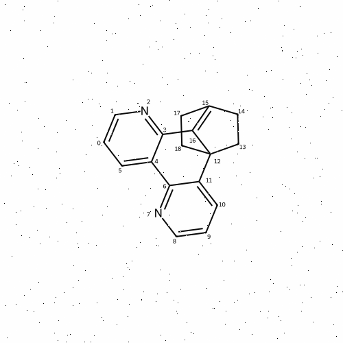 c1cnc2c(c1)-c1ncccc1C13CCC(=C21)CC3